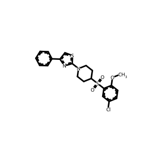 COc1ccc(Cl)cc1S(=O)(=O)C1CCN(c2nc(-c3ccccc3)cs2)CC1